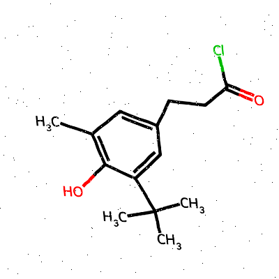 Cc1cc(CCC(=O)Cl)cc(C(C)(C)C)c1O